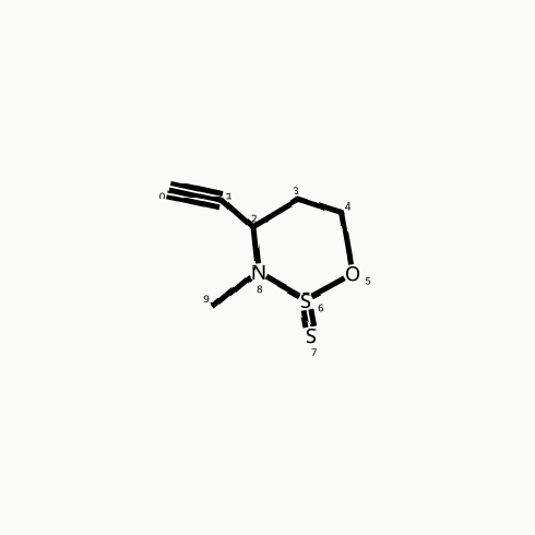 C#CC1CCOS(=S)N1C